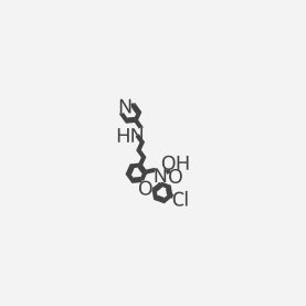 O=C(O)N1Cc2c(CCCNCc3ccncc3)cccc2Oc2ccc(Cl)cc21